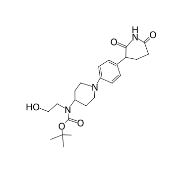 CC(C)(C)OC(=O)N(CCO)C1CCN(c2ccc(C3CCC(=O)NC3=O)cc2)CC1